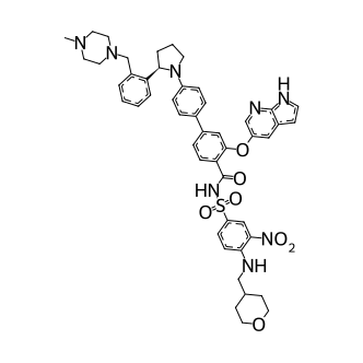 CN1CCN(Cc2ccccc2[C@H]2CCCN2c2ccc(-c3ccc(C(=O)NS(=O)(=O)c4ccc(NCC5CCOCC5)c([N+](=O)[O-])c4)c(Oc4cnc5[nH]ccc5c4)c3)cc2)CC1